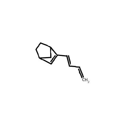 C=CC=CC1=CC2CCC1C2